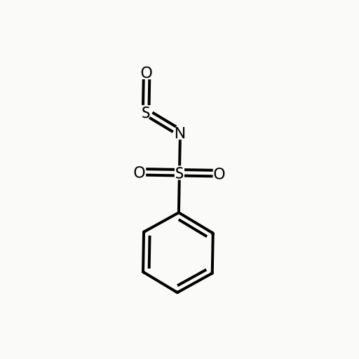 O=S=NS(=O)(=O)c1ccccc1